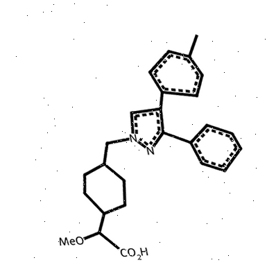 COC(C(=O)O)C1CCC(Cn2cc(-c3ccc(C)cc3)c(-c3ccccc3)n2)CC1